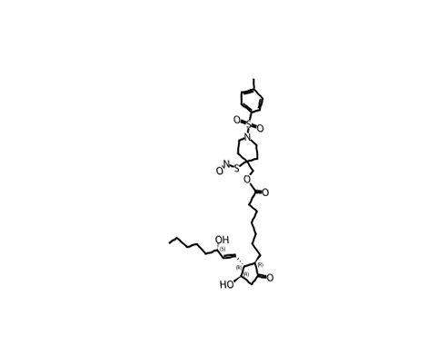 CCCCC[C@H](O)C=C[C@H]1[C@H](O)CC(=O)[C@@H]1CCCCCCC(=O)OCC1(SN=O)CCN(S(=O)(=O)c2ccc(C)cc2)CC1